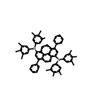 Cc1cc(N(c2cc(C)c(C)c(C)c2)c2cc(-c3ccccc3)c3ccc4c(N(c5cc(C)c(C)c(C)c5)c5cc(C)c(C)c(C)c5)cc(-c5ccccc5)c5ccc2c3c54)cc(C)c1C